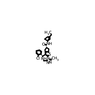 CCC1CC2(NC(=O)[C@@H]3Cc4sc5c(c4C3)[C@H](c3ccccc3Cl)NCc3nnc(C)n3-5)CC1C2